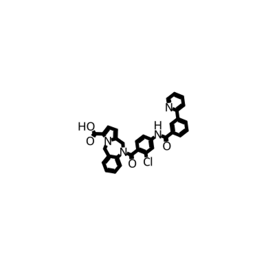 O=C(Nc1ccc(C(=O)N2Cc3ccc(C(=O)O)n3Cc3ccccc32)c(Cl)c1)c1cccc(-c2ccccn2)c1